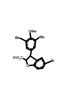 CCOC(=O)C1Oc2ccc(Br)cc2C1c1cc(C(C)(C)C)c(OC)c(C(C)(C)C)c1